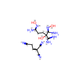 N#CCC=C(C#N)C#N.N=C(N)C(O)(CCC(N)=NO)C(N)=NO